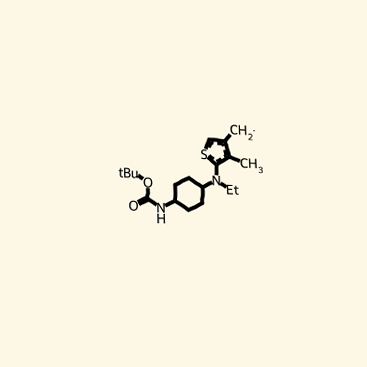 [CH2]c1csc(N(CC)C2CCC(NC(=O)OC(C)(C)C)CC2)c1C